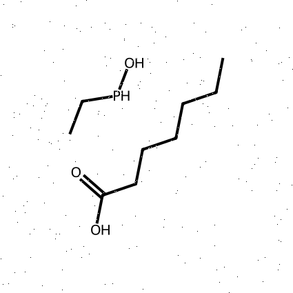 CCCCCCC(=O)O.CCPO